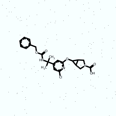 CC(C)(NC(=O)OCc1ccccc1)c1cc(Cl)nc(OC2C3CN(C(=O)O)CC32)c1